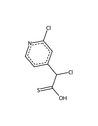 OC(=S)C(Cl)c1ccnc(Cl)c1